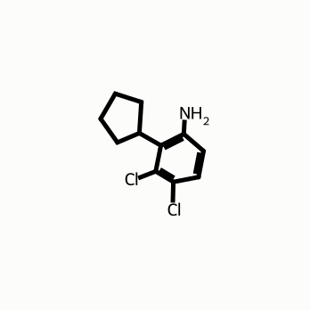 Nc1ccc(Cl)c(Cl)c1C1CCCC1